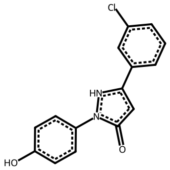 O=c1cc(-c2cccc(Cl)c2)[nH]n1-c1ccc(O)cc1